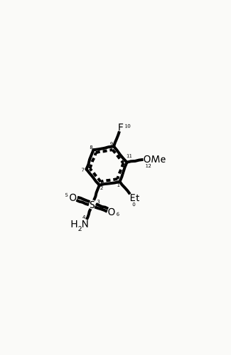 CCc1c(S(N)(=O)=O)ccc(F)c1OC